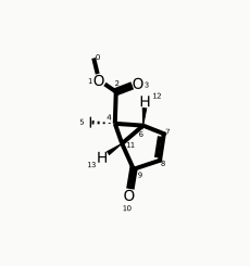 COC(=O)[C@@]1(I)[C@@H]2C=CC(=O)[C@@H]21